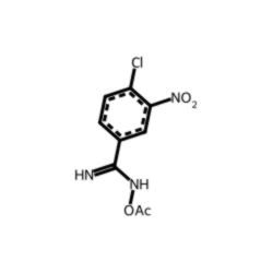 CC(=O)ONC(=N)c1ccc(Cl)c([N+](=O)[O-])c1